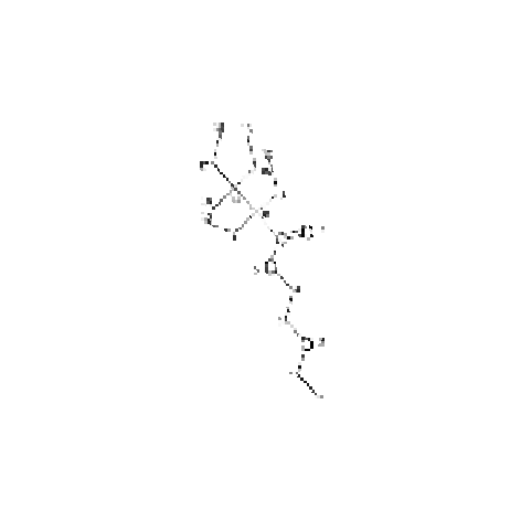 CCOCCOC(=O)C(CC)(CC)C(C)(CC)CC